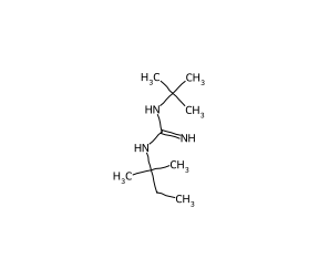 CCC(C)(C)NC(=N)NC(C)(C)C